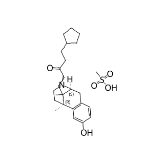 CN1CC[C@]2(C)c3cc(O)ccc3C[C@H]1C2(C)CCC(=O)CCC1CCCC1.CS(=O)(=O)O